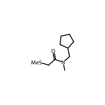 CSCC(=O)N(C)CC1CCCC1